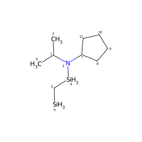 CC(C)N([SiH2]C[SiH3])C1CCCC1